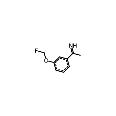 CC(=N)c1cccc(OCF)c1